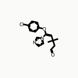 CC(C)(C=C(Oc1ccc(Cl)cc1)n1ccnc1)CC=O